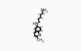 Cc1ccc2cc(NCCCCCN)ccc2n1